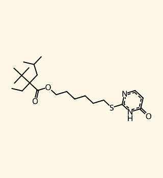 CCC(CC(C)C)(C(=O)OCCCCCCSc1nccc(=O)[nH]1)C(C)(C)C